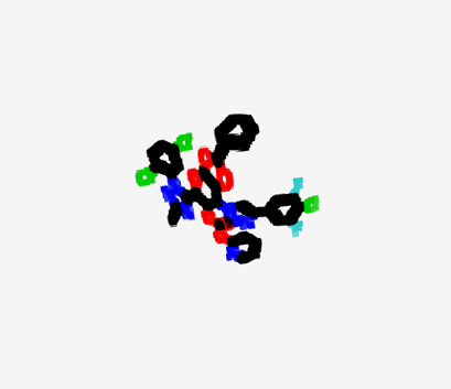 Cc1nc(C2OC3OC(c4ccccc4)OC3C(n3cc(-c4cc(F)c(Cl)c(F)c4)nn3)C2OC(=O)Oc2ccccn2)n(-c2cc(Cl)ccc2Cl)n1